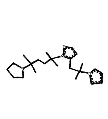 CC(C)(CCC(C)(C)n1nccc1CC(C)(C)n1cccc1)N1CCCC1